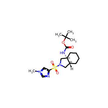 Cn1cnc(S(=O)(=O)N2C[C@H]3CCCC[C@]3(NC(=O)OC(C)(C)C)C2)c1